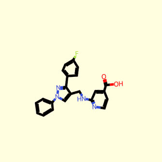 O=C(O)c1ccnc(NCc2cn(-c3ccccc3)nc2-c2ccc(F)cc2)c1